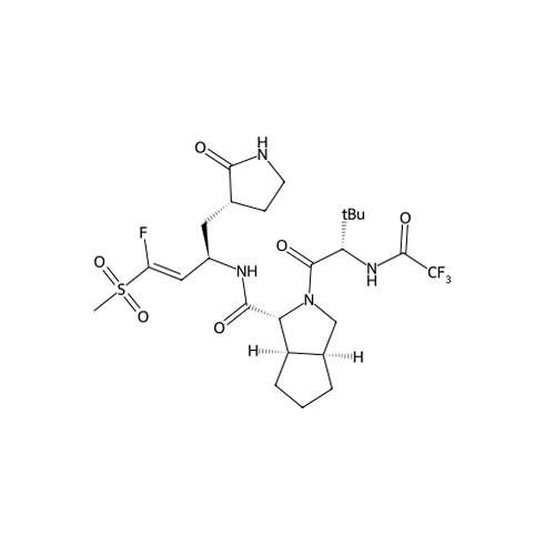 CC(C)(C)[C@H](NC(=O)C(F)(F)F)C(=O)N1C[C@H]2CCC[C@H]2[C@@H]1C(=O)N[C@@H](/C=C(\F)S(C)(=O)=O)C[C@H]1CCNC1=O